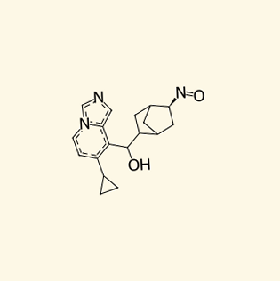 O=N[C@H]1CC2CC1CC2C(O)c1c(C2CC2)ccn2cncc12